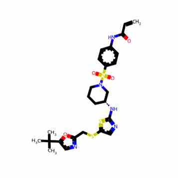 C=CC(=O)Nc1ccc(S(=O)(=O)N2CCC[C@@H](Nc3ncc(SCc4ncc(C(C)(C)C)o4)s3)C2)cc1